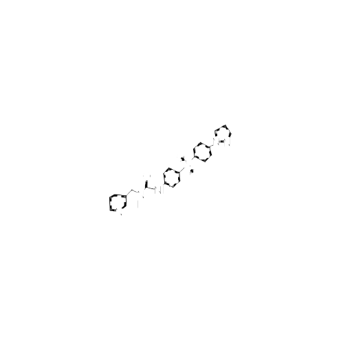 O=C(NCc1cccnc1)Nc1ccc(S(=O)(=O)c2ccc(-n3cccn3)cc2)cc1